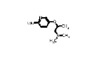 CC(CN(C)C)Oc1ccc(C(C)(C)C)nc1